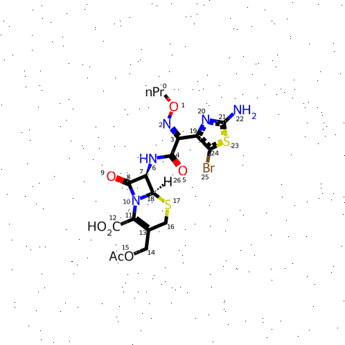 CCCON=C(C(=O)N[C@@H]1C(=O)N2C(C(=O)O)=C(COC(C)=O)CS[C@H]12)c1nc(N)sc1Br